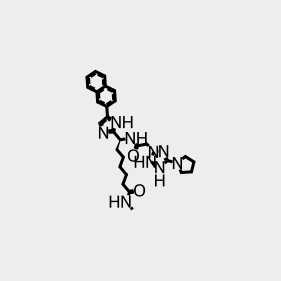 CNC(=O)CCCCC[C@H](NC(=O)CN1N=C(N2CCCC2)NN1)c1ncc(-c2ccc3ccccc3c2)[nH]1